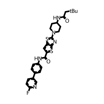 CC(C)(C)CC(=O)NC1CCN(c2nc3sc(C(=O)Nc4ccc(-c5ccc(F)nc5)cc4)cc3s2)CC1